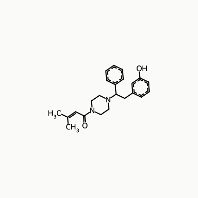 CC(C)=CC(=O)N1CCN(C(Cc2cccc(O)c2)c2ccccc2)CC1